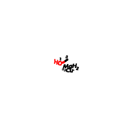 CO.[Cu].[MgH2]